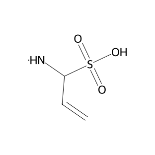 C=CC([NH])S(=O)(=O)O